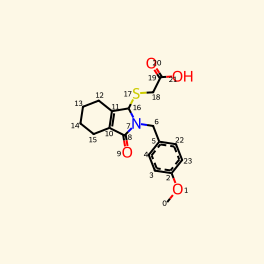 COc1ccc(CN2C(=O)C3=C(CCCC3)C2SCC(=O)O)cc1